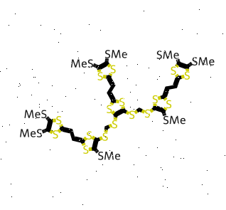 CSC1=C(SC)SC(=CC=C2SC(SC)=C(SCSC3=C(SCSC4=C(SC)SC(=CC=C5SC(SC)=C(SC)S5)S4)SC(=CC=C4SC(SC)=C(SC)S4)S3)S2)S1